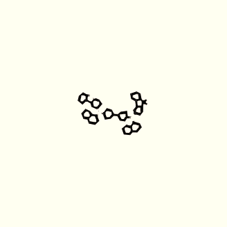 CC1(C)c2ccccc2-c2cc(N(c3ccc(-c4ccc(N(c5ccc6oc7ccccc7c6c5)c5cccc6ccccc56)cc4)cc3)c3cccc4ccccc34)ccc21